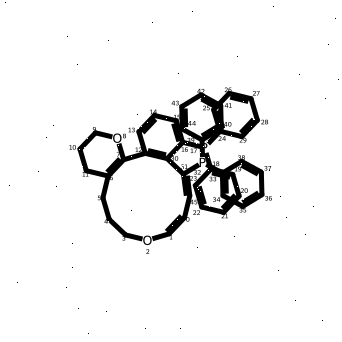 C1=COCCCC2=C(OCCC2)c2cccc(P(c3ccccc3)c3ccccc3)c2C(P(c2ccccc2)c2ccccc2)=C1